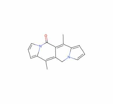 CC1=c2c(c(C)c3cccn3c2=O)Cn2cccc21